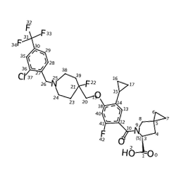 O=C(O)[C@@H]1CC2(CC2)CN1C(=O)c1cc(C2CC2)c(OCC2(F)CCN(Cc3ccc(C(F)(F)F)cc3Cl)CC2)cc1F